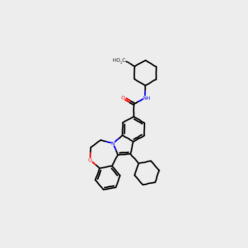 O=C(NC1CCCC(C(=O)O)C1)c1ccc2c(C3CCCCC3)c3n(c2c1)CCOc1ccccc1-3